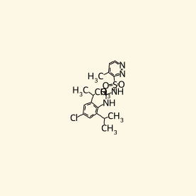 Cc1ccnnc1S(=O)(=O)NC(=O)Nc1c(C(C)C)cc(Cl)cc1C(C)C